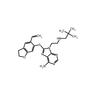 C=Cc1cc2c(cc1Sc1nc3c(N)ncnc3n1CCNCC(C)(C)C)OCC2